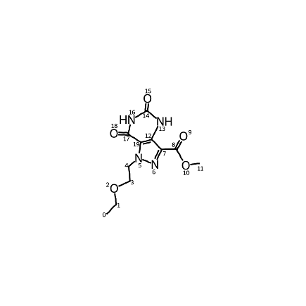 CCOCCn1nc(C(=O)OC)c2[nH]c(=O)[nH]c(=O)c21